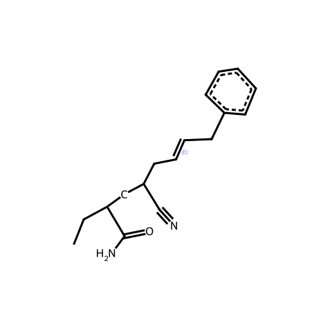 CCC(CC(C#N)C/C=C/Cc1ccccc1)C(N)=O